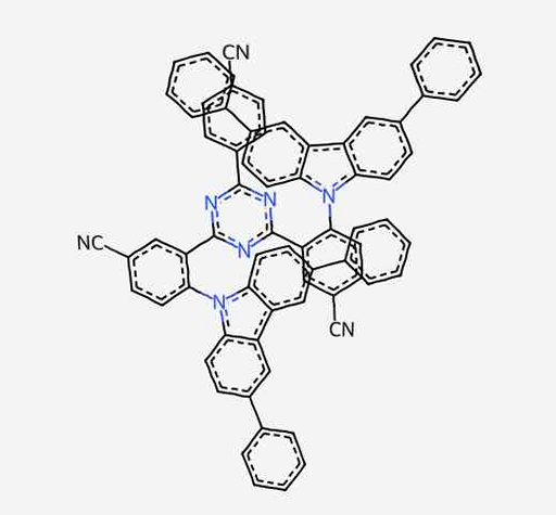 N#Cc1ccc(-c2nc(-c3cc(C#N)ccc3-n3c4ccc(-c5ccccc5)cc4c4cc(-c5ccccc5)ccc43)nc(-c3cc(C#N)ccc3-n3c4ccc(-c5ccccc5)cc4c4cc(-c5ccccc5)ccc43)n2)cc1